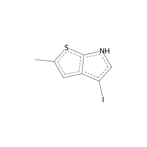 Cc1cc2c(I)c[nH]c2s1